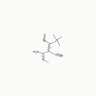 C=N/C(=C(C#N)\C(N)=N/C)C(C)(C)C